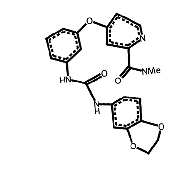 CNC(=O)c1cc(Oc2cccc(NC(=O)Nc3ccc4c(c3)OCCO4)c2)ccn1